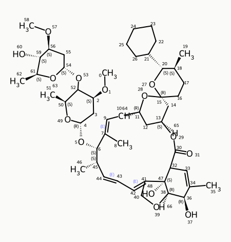 CO[C@H]1C[C@H](O[C@@H]2/C(C)=C/C[C@@H]3C[C@@H](C[C@]4(CC[C@H](C)[C@@H](C5CCCCC5)O4)O3)OC(=O)C3C=C(C)[C@@H](O)[C@H]4OC/C(=C\C=C\[C@@H]2C)[C@@]34O)O[C@@H](C)C1O[C@H]1C[C@H](OC)[C@@H](O)[C@H](C)O1